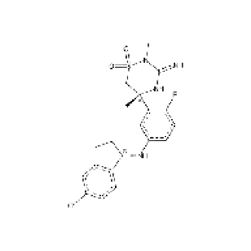 CN1C(=N)N[C@](C)(c2cc(N[C@H]3CCc4cc(Cl)ccc43)ccc2F)CS1(=O)=O